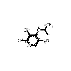 CC(Oc1c(C#N)cnc(Cl)c1Cl)C(F)(F)F